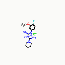 Cl.N=C(NC(=N)N1CCCCC1)Nc1ccc(F)c(OC(F)(F)F)c1